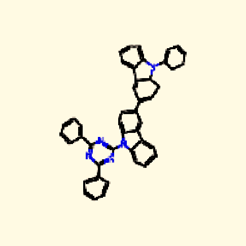 C1=CCCC(N2c3ccccc3C3=CC(c4ccc5c(c4)c4ccccc4n5-c4nc(-c5ccccc5)nc(-c5ccccc5)n4)=CCC32)=C1